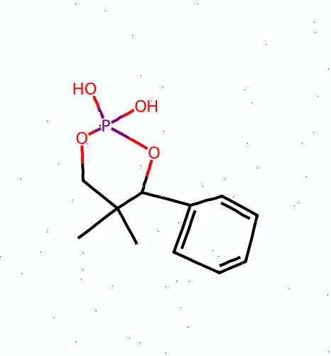 CC1(C)CO[P](O)(O)OC1c1ccccc1